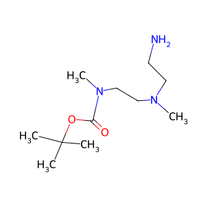 CN(CCN)CCN(C)C(=O)OC(C)(C)C